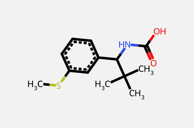 CSc1cccc(C(NC(=O)O)C(C)(C)C)c1